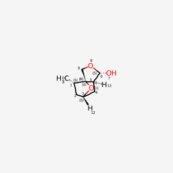 C[C@H]1C[C@H]2C[C@@H]3[C@@H](O)OC[C@]31O2